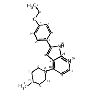 CCOc1ccc(-c2cc3c(N4CCN(C)CC4)ccnc3[nH]2)cc1